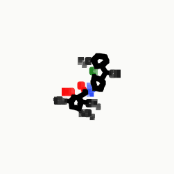 Cc1c([N+](=O)[O-])cc(C(C)(C)C)c(O)c1C(=O)Nc1ccc(C(C#N)c2cccc(C(F)(F)F)c2)c(Cl)c1